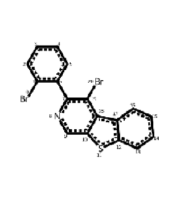 Brc1ccccc1-c1ncc2sc3ccccc3c2c1Br